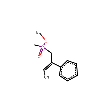 CCOP(C)(=O)C/C(=C/C#N)c1ccccc1